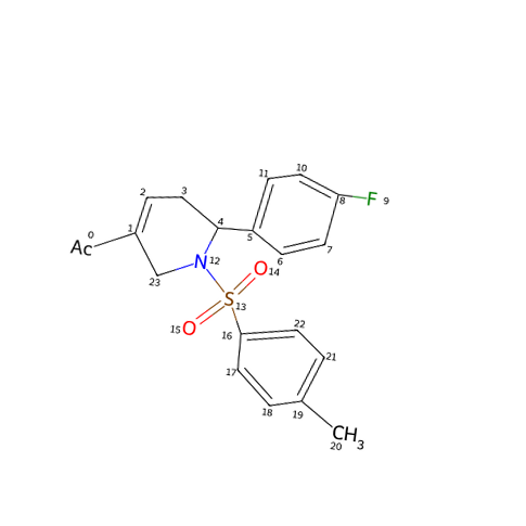 CC(=O)C1=CCC(c2ccc(F)cc2)N(S(=O)(=O)c2ccc(C)cc2)C1